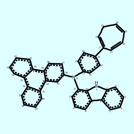 B1c2ccccc2-c2cccc(N(c3ccc(C4=CCC=CC=C4)cc3)c3ccc4c5ccccc5c5ccccc5c4c3)c21